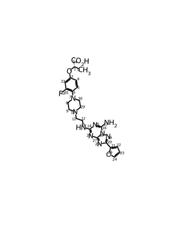 C[C@H](Oc1ccc(N2CCN(CCNc3nc(N)n4nc(-c5ccco5)nc4n3)CC2)c(F)c1)C(=O)O